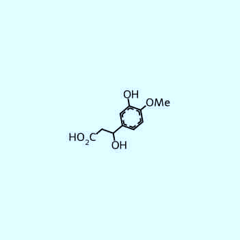 COc1ccc(C(O)CC(=O)O)cc1O